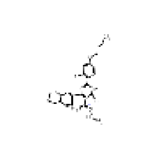 NN/N=C(\N)c1c(-c2ccc3c(c2)CCCC3)cc(-c2ccc(OCCCC(F)(F)F)cc2F)[nH]c1=O